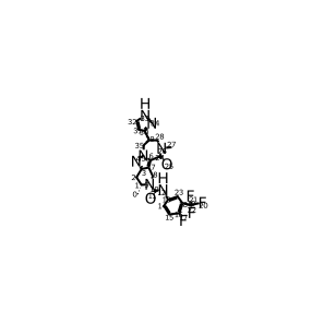 C[C@@H]1Cc2nn3c(c2CN1C(=O)Nc1ccc(F)c(C(F)(F)F)c1)C(=O)N(C)CC(c1cc[nH]n1)C3